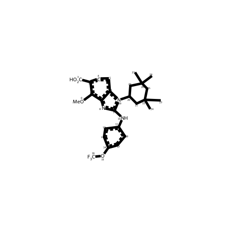 COc1c(C(=O)O)ccc2c1nc(Nc1ccc(OC(F)(F)F)cc1)n2C1CC(C)(C)CC(C)(C)C1